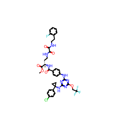 COC(=O)[C@H](CCNC(=O)C(=O)NCCc1ccccc1F)NC(=O)c1ccc(Nc2nc(NC3(c4ccc(Cl)cc4)CC3)nc(OCC(F)(F)F)n2)cc1